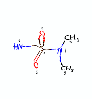 CN(C)S([NH])(=O)=O